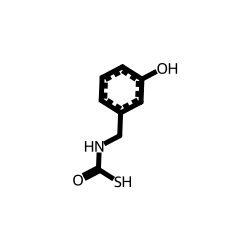 O=C(S)NCc1cccc(O)c1